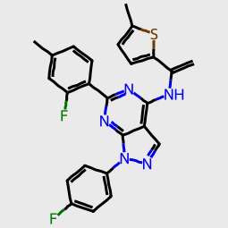 C=C(Nc1nc(-c2ccc(C)cc2F)nc2c1cnn2-c1ccc(F)cc1)c1ccc(C)s1